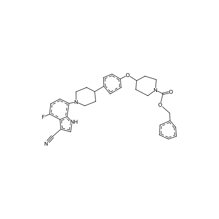 N#Cc1c[nH]c2c(N3CCC(c4ccc(OC5CCN(C(=O)OCc6ccccc6)CC5)cc4)CC3)ccc(F)c12